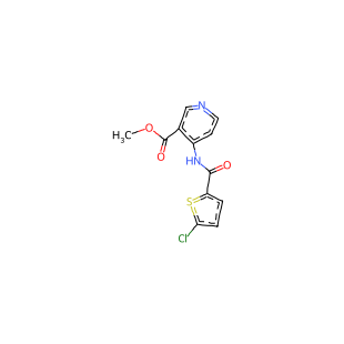 COC(=O)c1cnccc1NC(=O)c1ccc(Cl)s1